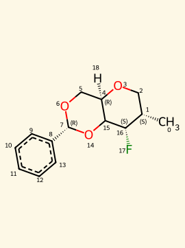 C[C@H]1CO[C@@H]2CO[C@@H](c3ccccc3)OC2[C@H]1F